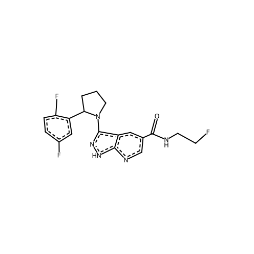 O=C(NCCF)c1cnc2[nH]nc(N3CCCC3c3cc(F)ccc3F)c2c1